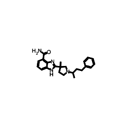 CC(CCc1ccccc1)N1CCC(C)(c2nc3c(C(N)=O)cccc3[nH]2)C1